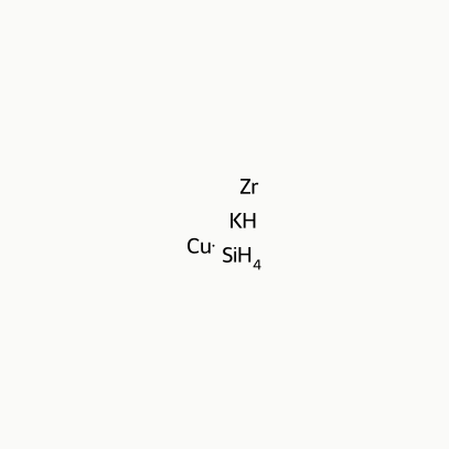 [Cu].[KH].[SiH4].[Zr]